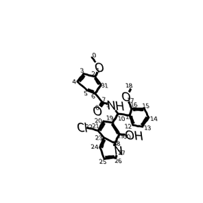 COc1cccc(C(=O)NC(c2ccccc2OC)c2cc(Cl)c3cccnc3c2O)c1